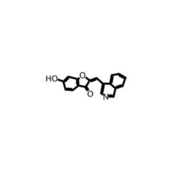 O=C1C(=Cc2cncc3ccccc23)Oc2cc(O)ccc21